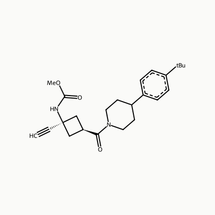 C#C[C@]1(NC(=O)OC)C[C@@H](C(=O)N2CCC(c3ccc(C(C)(C)C)cc3)CC2)C1